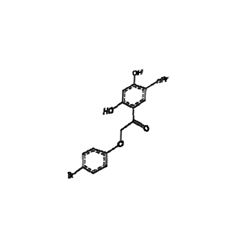 CCCc1cc(C(=O)COc2ccc(Br)cc2)c(O)cc1O